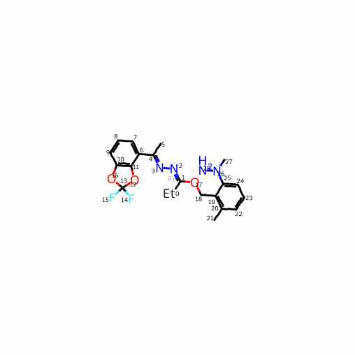 CC/C(=N\N=C(C)c1cccc2c1OC(F)(F)O2)OCc1c(C)cccc1N(C)N